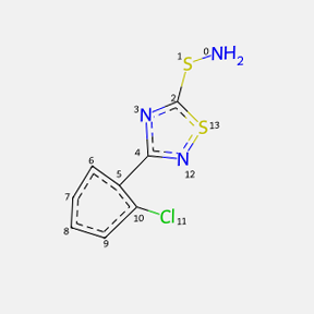 NSc1nc(-c2ccccc2Cl)ns1